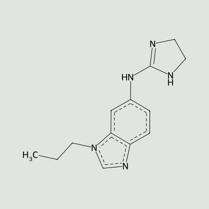 CCCn1cnc2ccc(NC3=NCCN3)cc21